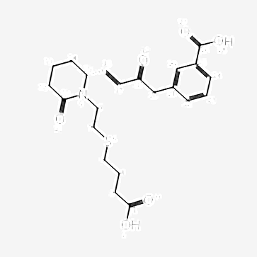 O=C(O)CCCSCCN1C(=O)CCC[C@@H]1/C=C/C(=O)Cc1cccc(C(=O)O)c1